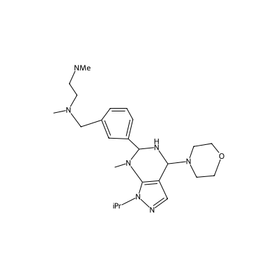 CNCCN(C)Cc1cccc(C2NC(N3CCOCC3)c3cnn(C(C)C)c3N2C)c1